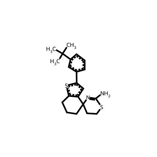 CC(C)(C)c1cccc(-c2cc3c(s2)CCCC32CCSC(N)=N2)c1